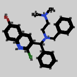 CN(C)CCN(Cc1ccccc1)C(c1ccccc1)c1cc2cc(Br)ccc2nc1Cl